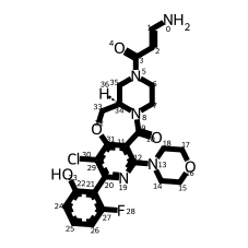 N/C=C/C(=O)N1CCN2C(=O)c3c(N4CCOCC4)nc(-c4c(O)cccc4F)c(Cl)c3OC[C@H]2C1